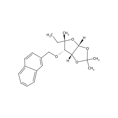 CC[C@]1(C)O[C@@H]2OC(C)(C)O[C@@H]2[C@@H]1OCc1ccc2ccccc2c1